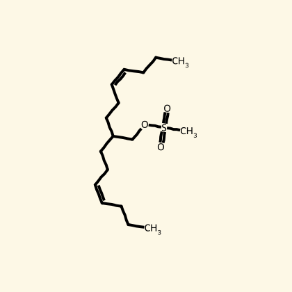 CCC/C=C\CCC(CC/C=C\CCC)COS(C)(=O)=O